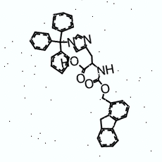 O=C(NC(Cc1cn(C(c2ccccc2)(c2ccccc2)c2ccccc2)cn1)C(=O)O)OCc1cccc2c1Cc1ccccc1-2